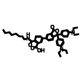 CCCCCCCCNC(=O)c1ccc(-c2ccc3c(c2)C(=O)OC3(c2ccc(N(CC)CC)cc2)c2ccc(N(CC)CC)cc2)cc1C(=O)O